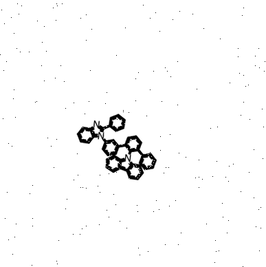 c1ccc(-c2cccc(-c3cccc(-n4c(-c5ccccc5)nc5ccccc54)c3)c2-n2c3ccccc3c3ccccc32)cc1